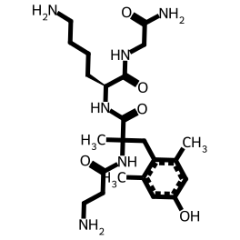 Cc1cc(O)cc(C)c1CC(C)(NC(=O)CCN)C(=O)N[C@@H](CCCCN)C(=O)NCC(N)=O